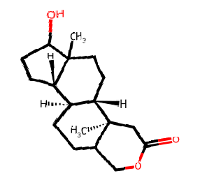 CC12CC[C@H]3[C@@H](CCC4COC(=O)C[C@@]43C)[C@@H]1CCC2O